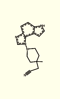 CC1(CC#N)CCN(n2cnc3ccc4[nH]ccc4c32)CC1